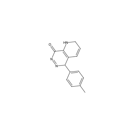 Cc1ccc(C2N=NC(=O)C3=C2C=CCN3)cc1